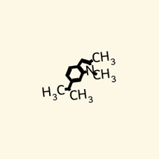 Cc1cc2ccc(C(C)C)cc2n1C